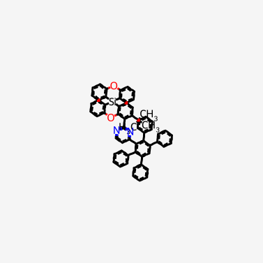 CC(C)(C)c1ccc2c(c1-c1nccc(-c3c(-c4ccccc4)c(-c4ccccc4)cc(-c4ccccc4)c3-c3ccccc3)n1)Oc1ccccc1[Si]21c2ccccc2Oc2ccccc21